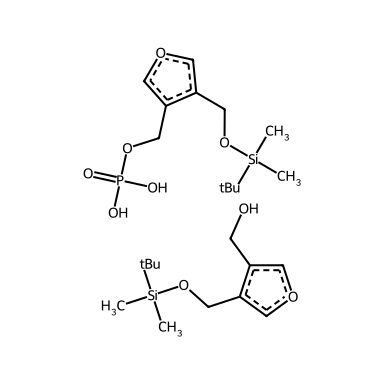 CC(C)(C)[Si](C)(C)OCc1cocc1CO.CC(C)(C)[Si](C)(C)OCc1cocc1COP(=O)(O)O